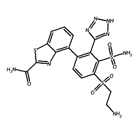 NCCS(=O)(=O)c1ccc(-c2cccc3sc(C(N)=O)nc23)c(-c2nn[nH]n2)c1S(N)(=O)=O